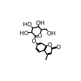 Cc1cc(=O)oc2cc(O[C@@H]3OC(CO)C(O)C(O)C3O)ccc12